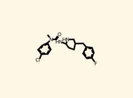 CN(C(=O)NC1CCC(Cc2ccc(F)cc2)CN1)c1ccc(Cl)cc1